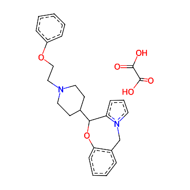 O=C(O)C(=O)O.c1ccc(OCCN2CCC(C3Oc4ccccc4Cn4cccc43)CC2)cc1